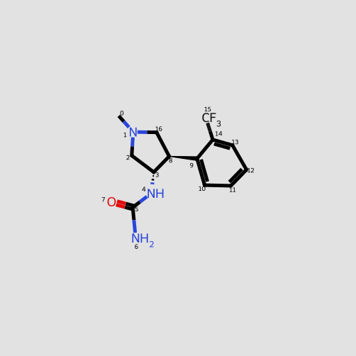 CN1C[C@@H](NC(N)=O)[C@H](c2ccccc2C(F)(F)F)C1